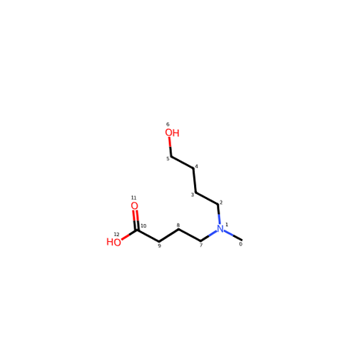 CN(CCCCO)CCCC(=O)O